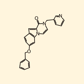 O=c1c2cc3ccc(OCc4ccccc4)cc3n2ccn1Cc1cccnc1